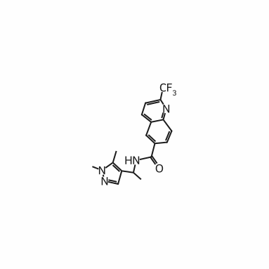 Cc1c(C(C)NC(=O)c2ccc3nc(C(F)(F)F)ccc3c2)cnn1C